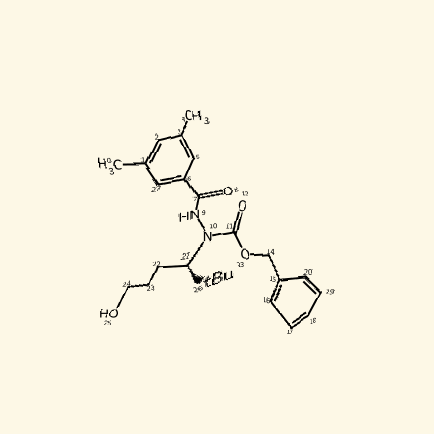 Cc1cc(C)cc(C(=O)NN(C(=O)OCc2ccccc2)[C@H](CCCO)C(C)(C)C)c1